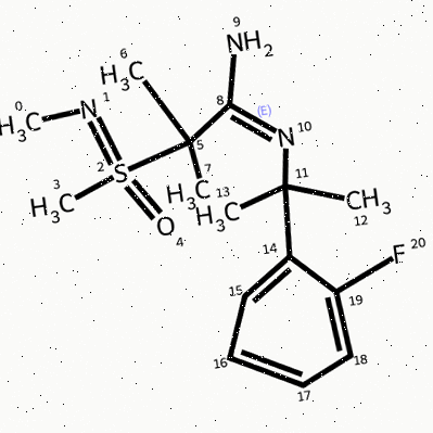 CN=S(C)(=O)C(C)(C)/C(N)=N\C(C)(C)c1ccccc1F